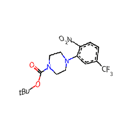 CC(C)(C)OC(=O)N1CCN(c2cc(C(F)(F)F)ccc2[N+](=O)[O-])CC1